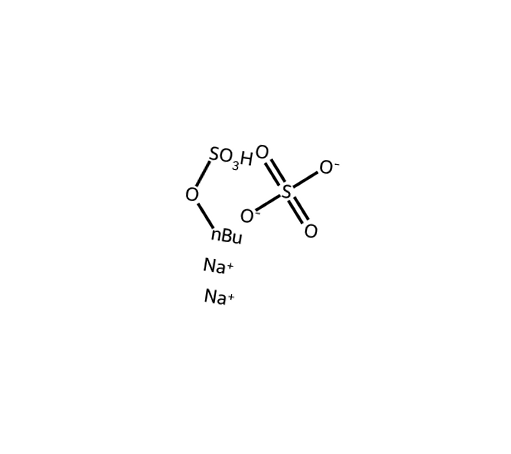 CCCCOS(=O)(=O)O.O=S(=O)([O-])[O-].[Na+].[Na+]